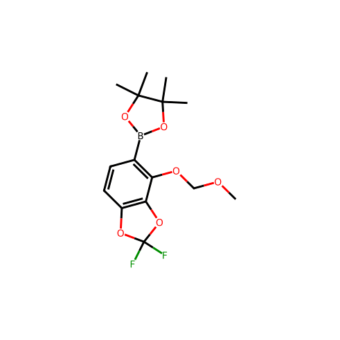 COCOc1c(B2OC(C)(C)C(C)(C)O2)ccc2c1OC(F)(F)O2